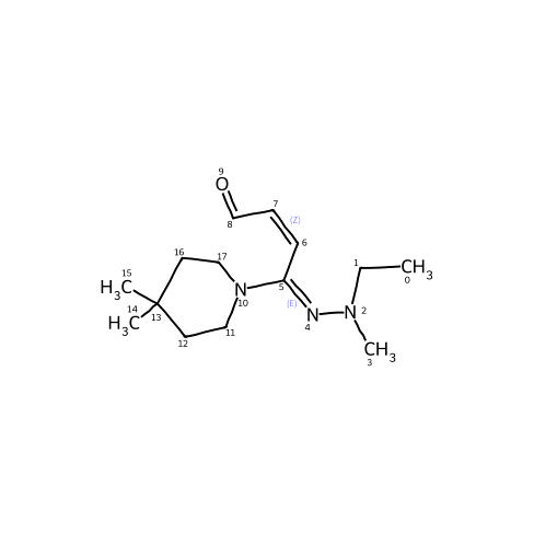 CCN(C)/N=C(\C=C/C=O)N1CCC(C)(C)CC1